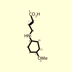 COC1CCC(NC/C=C/C(=O)O)CC1